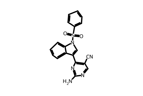 N#Cc1cnc(N)nc1-c1cn(S(=O)(=O)c2ccccc2)c2ccccc12